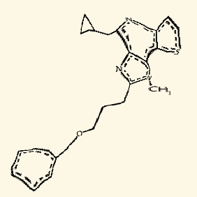 Cn1c(CCCOCc2ccccc2)nc2c(C3CC3)nc3ccsc3c21